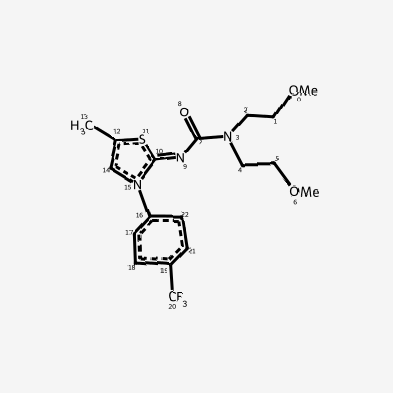 COCCN(CCOC)C(=O)N=c1sc(C)cn1-c1ccc(C(F)(F)F)cc1